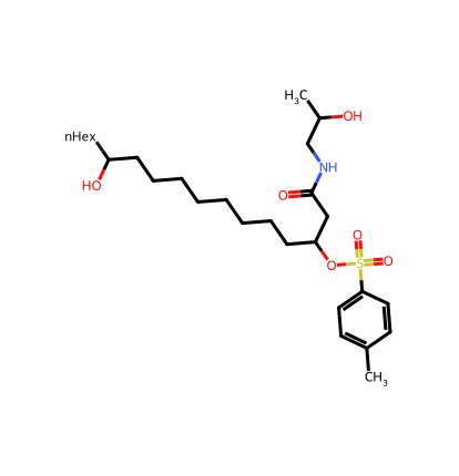 CCCCCCC(O)CCCCCCCCC(CC(=O)NCC(C)O)OS(=O)(=O)c1ccc(C)cc1